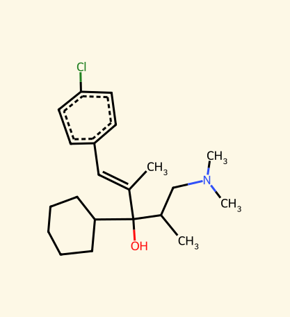 CC(=Cc1ccc(Cl)cc1)C(O)(C(C)CN(C)C)C1CCCCC1